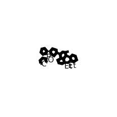 CCC1(CC)c2ccccc2-c2c(C)cc(-c3cccc(P(=O)(c4ccccc4)c4ccccc4)c3)c3cccc1c23